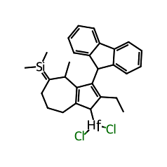 CCC1=C(C2c3ccccc3-c3ccccc32)C2=C(CCCC(=[Si](C)C)C2C)[CH]1[Hf]([Cl])[Cl]